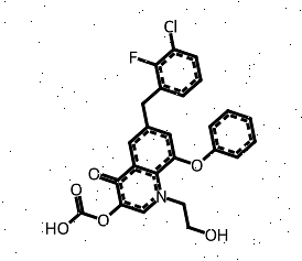 O=C(O)Oc1cn(CCO)c2c(Oc3ccccc3)cc(Cc3cccc(Cl)c3F)cc2c1=O